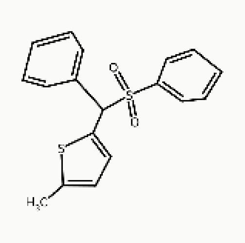 Cc1ccc(C(c2ccccc2)S(=O)(=O)c2ccccc2)s1